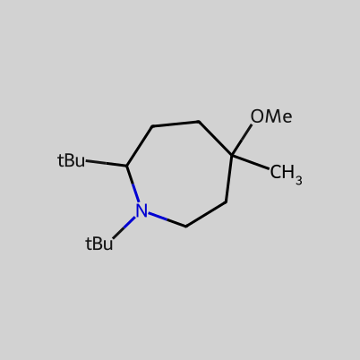 COC1(C)CCC(C(C)(C)C)N(C(C)(C)C)CC1